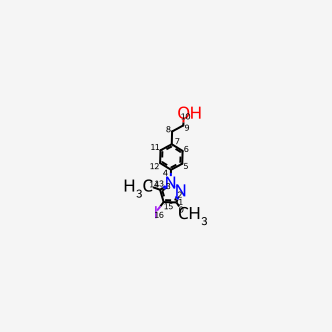 Cc1nn(-c2ccc(CCO)cc2)c(C)c1I